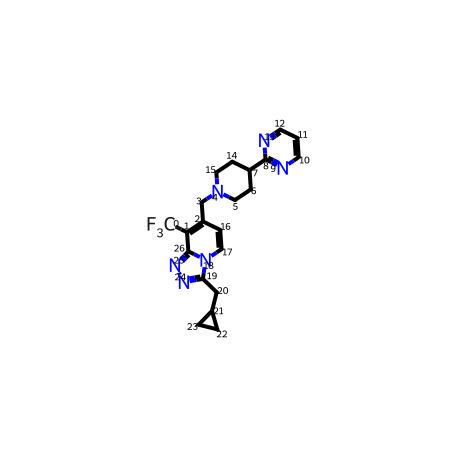 FC(F)(F)c1c(CN2CCC(c3ncccn3)CC2)ccn2c(CC3CC3)nnc12